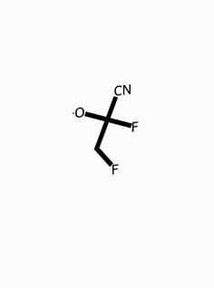 N#CC([O])(F)CF